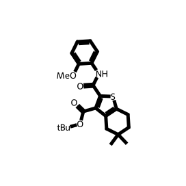 COc1ccccc1NC(=O)c1sc2c(c1C(=O)OC(C)(C)C)CC(C)(C)CC2